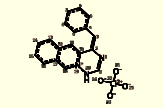 C1=N/C(=C/c2ccccc2)c2cc3ccccc3c[n+]2N1.[O-][Cl+3]([O-])([O-])[O-]